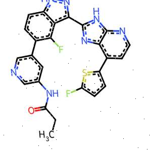 CCC(=O)Nc1cncc(-c2ccc3[nH]nc(-c4nc5c(-c6ccc(F)s6)ccnc5[nH]4)c3c2F)c1